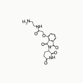 NCCNC(=O)COc1cccc2c1C(=O)N(C1CCC(=O)NC1=O)C2=O